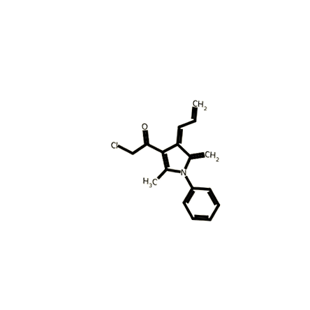 C=C/C=c1/c(C(=O)CCl)c(C)n(-c2ccccc2)c1=C